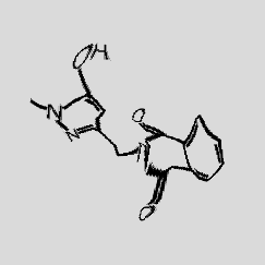 Cn1nc(CN2C(=O)c3ccccc3C2=O)cc1O